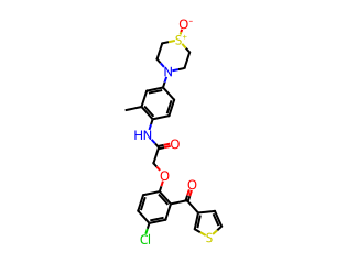 Cc1cc(N2CC[S+]([O-])CC2)ccc1NC(=O)COc1ccc(Cl)cc1C(=O)c1ccsc1